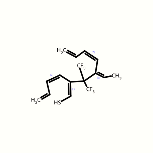 C=C/C=C\C(=C/C)C(C(/C=C\C=C)=C/S)(C(F)(F)F)C(F)(F)F